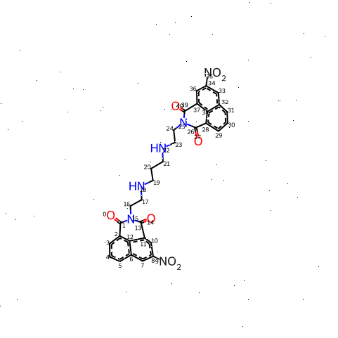 O=C1c2cccc3cc([N+](=O)[O-])cc(c23)C(=O)N1CCNCCCNCCN1C(=O)c2cccc3cc([N+](=O)[O-])cc(c23)C1=O